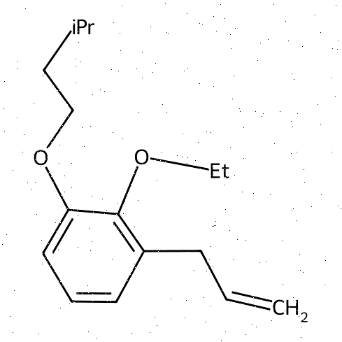 C=CCc1cccc(OCCC(C)C)c1OCC